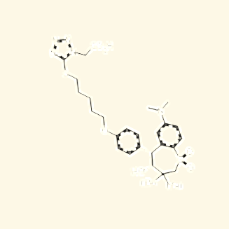 CCCCC1(CCCC)CS(=O)(=O)c2ccc(N(C)C)cc2[C@@H](c2ccc(OCCCCCSc3nnnn3CC(=O)O)cc2)[C@H]1O